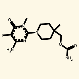 Cn1c(N2CCC(C)(COC(N)=O)CC2)nc(N)c(I)c1=O